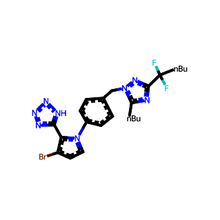 CCCCc1nc(C(F)(F)CCCC)nn1Cc1ccc(-n2ccc(Br)c2-c2nnn[nH]2)cc1